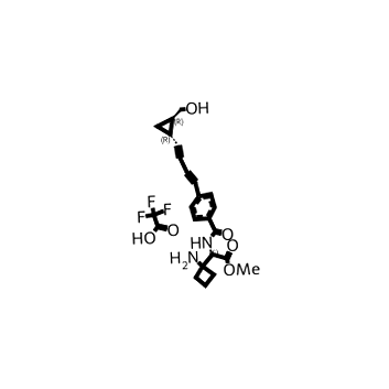 COC(=O)[C@@H](NC(=O)c1ccc(C#CC#C[C@@H]2C[C@H]2CO)cc1)C1(N)CCC1.O=C(O)C(F)(F)F